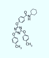 Cc1ccc(Oc2nc(Oc3ccc(C)cc3)nc(Oc3ccc(C(=O)NC4CCCCC4)cc3)n2)cc1